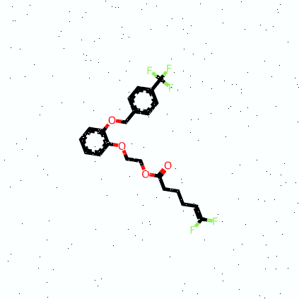 O=C(CCCC=C(F)F)OCCOc1ccccc1OCc1ccc(C(F)(F)F)cc1